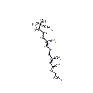 CCOC(=O)/C=C(\C)CC/C=C(\C)CCC(Br)C(C)(C)O